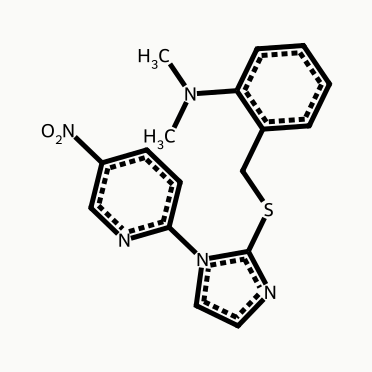 CN(C)c1ccccc1CSc1nccn1-c1ccc([N+](=O)[O-])cn1